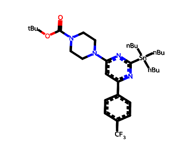 CCC[CH2][Sn]([CH2]CCC)([CH2]CCC)[c]1nc(-c2ccc(C(F)(F)F)cc2)cc(N2CCN(C(=O)OC(C)(C)C)CC2)n1